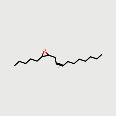 CCCCCCC/C=C\CC1OC1CCCCC